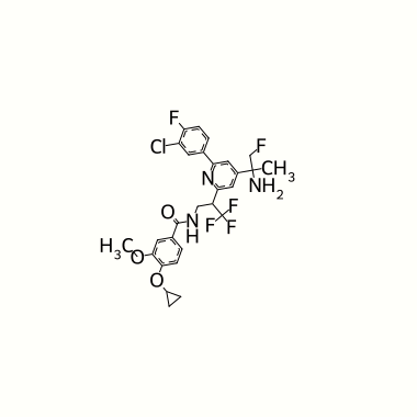 COc1cc(C(=O)NCC(c2cc(C(C)(N)CF)cc(-c3ccc(F)c(Cl)c3)n2)C(F)(F)F)ccc1OC1CC1